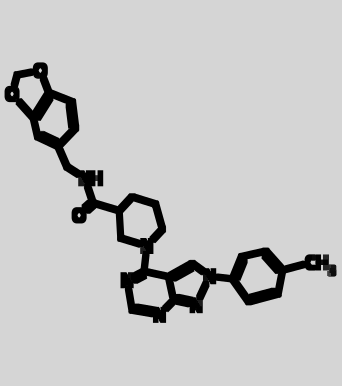 Cc1ccc(-n2cc3c(N4CCCC(C(=O)NCc5ccc6c(c5)OCO6)C4)ncnc3n2)cc1